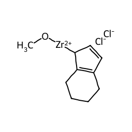 C[O][Zr+2][CH]1C=CC2=C1CCCC2.[Cl-].[Cl-]